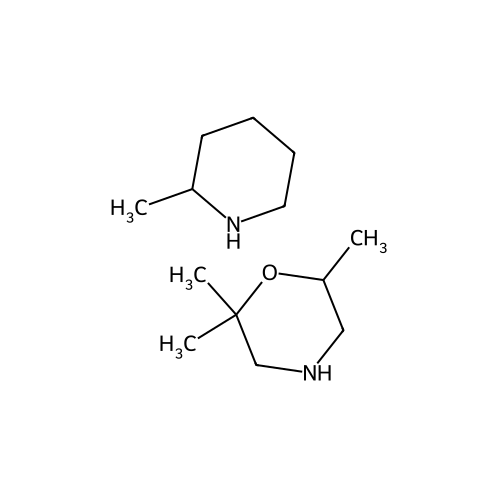 CC1CCCCN1.CC1CNCC(C)(C)O1